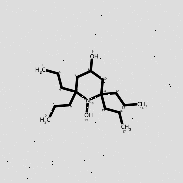 CCCC1(CCC)CC(O)CC(CCC)(CCC)N1O